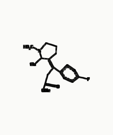 COC(=O)CC(=C1CCCN(C(=O)O)C1C(C)(C)C)c1ccc(F)cc1